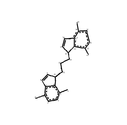 Cc1ccc(C)c2c1C=CC2CCCC1C=Cc2c(C)ccc(C)c21